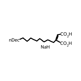 CCCCCCCCCCCCCCCCCC/C(=C/C(=O)O)C(=O)O.[NaH]